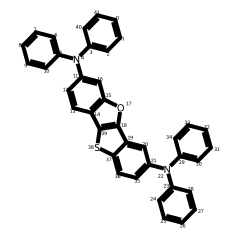 c1ccc(N(c2ccccc2)c2ccc3c(c2)oc2c4cc(N(c5ccccc5)c5ccccc5)ccc4sc32)cc1